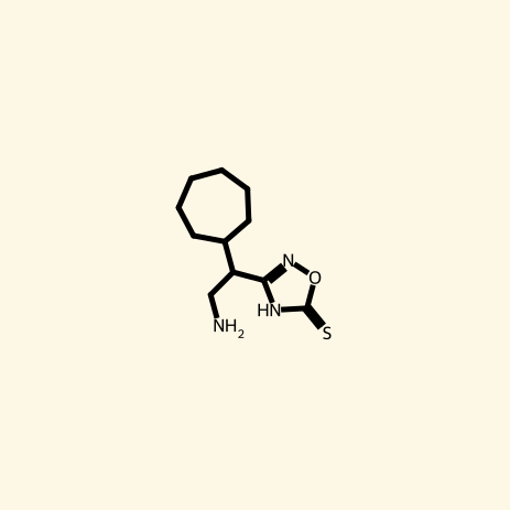 NCC(c1noc(=S)[nH]1)C1CCCCCC1